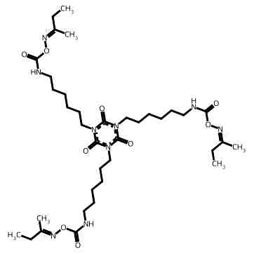 CC/C(C)=N\OC(=O)NCCCCCCn1c(=O)n(CCCCCCNC(=O)O/N=C(\C)CC)c(=O)n(CCCCCCNC(=O)O/N=C(\C)CC)c1=O